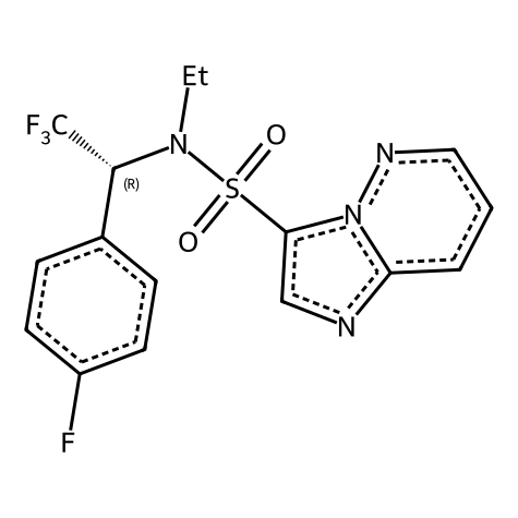 CCN([C@H](c1ccc(F)cc1)C(F)(F)F)S(=O)(=O)c1cnc2cccnn12